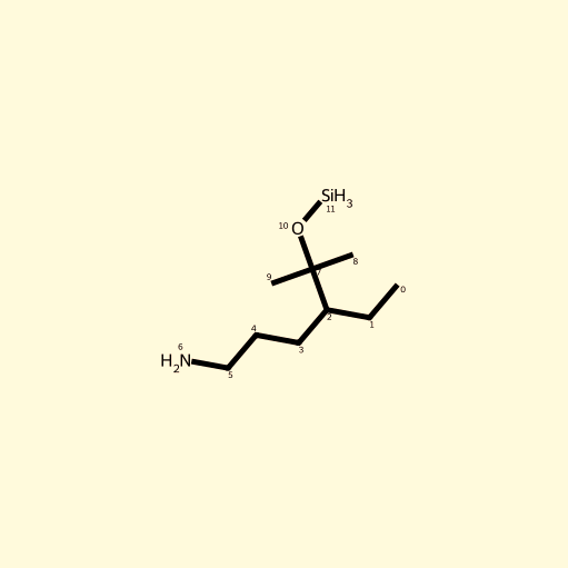 CCC(CCCN)C(C)(C)O[SiH3]